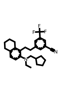 CCN(CC1CCCC1)c1ccc2c(c1CCc1cc(C#N)cc(C(F)(F)F)c1)CCCC2